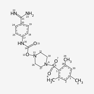 Cc1cc(C)c(S(=O)(=O)N2CCN(OC(=O)Nc3ccc(C(=N)N)cc3)CC2)c(C)c1